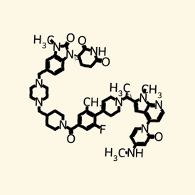 CNc1ccn(-c2ccnc3c2cc([C@H](C)N2CC=C(c4c(C)cc(C(=O)N5CCC(CN6CCN(Cc7ccc8c(c7)n(C)c(=O)n8[C@H]7CCC(=O)NC7=O)CC6)CC5)cc4F)CC2)n3C)c(=O)c1